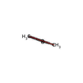 CCCCCCC=CCCCCCCCCCCCC(=O)OCCCCCCCCCCCCCCCCCCCCCCCC